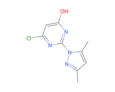 Cc1cc(C)n(-c2nc(O)cc(Cl)n2)n1